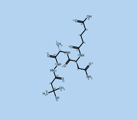 C[C@H](NC(=O)[C@H](CC(N)=O)NC(=O)CCCC(=O)O)C(=O)NNC(=O)CC(C)(C)S